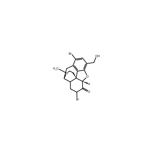 CN1CC[C@@]23c4c5c(Br)cc(CO)c4O[C@@H]2C(=O)C(Br)CC3C1C5